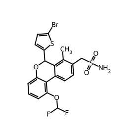 Cc1c(CS(N)(=O)=O)ccc2c1C(c1ccc(Br)s1)Oc1cccc(OC(F)F)c1-2